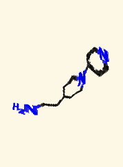 NCCC1CCN(c2ccncc2)CC1